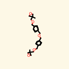 CC1(COCc2ccc(COCc3ccc(COCC4(C)COC4)cc3)cc2)COC1